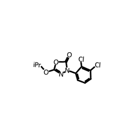 CC(C)Oc1nn(-c2cccc(Cl)c2Cl)c(=O)o1